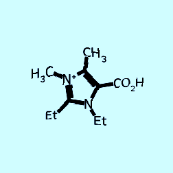 CCc1n(CC)c(C(=O)O)c(C)[n+]1C